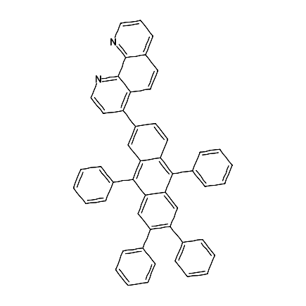 c1ccc(-c2cc3c(-c4ccccc4)c4ccc(-c5ccnc6c5ccc5cccnc56)cc4c(-c4ccccc4)c3cc2-c2ccccc2)cc1